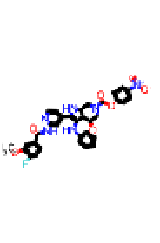 COc1cc(C(=O)Nc2cc(C3=C(Nc4ccccc4)C4C(=O)CN(C(=O)Oc5ccc([N+](=O)[O-])cc5)CC4N3)ccn2)ccc1F